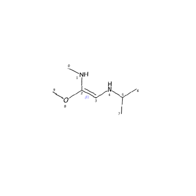 CN/C(=C\NC(C)C)OC